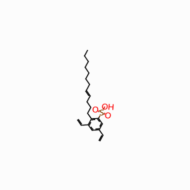 C=Cc1cc(C=C)c(CCCC=CCCCCCCC)c(S(=O)(=O)O)c1